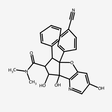 CN(C)C(=O)C1C(O)C2(O)c3ncc(O)cc3OC2(c2ccc(C#N)cc2)C1c1ccccc1